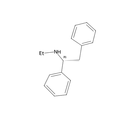 CCN[C@H](Cc1ccccc1)c1ccccc1